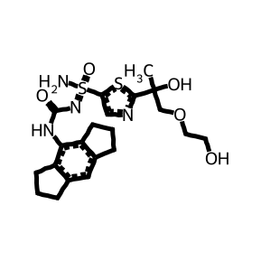 CC(O)(COCCO)c1ncc(S(N)(=O)=NC(=O)Nc2c3c(cc4c2CCC4)CCC3)s1